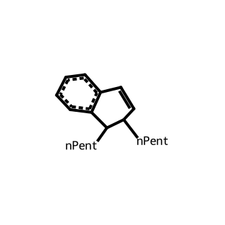 CCCCCC1C=Cc2ccccc2C1CCCCC